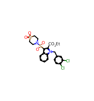 CCOC(=O)c1c(S(=O)(=O)N2CCS(=O)(=O)CC2)c2ccccc2n1Cc1ccc(Cl)c(Cl)c1